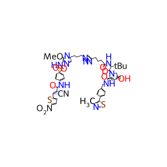 COc1nc(CCCn2cc(CCCC(=O)NC(C(=O)N3C[C@H](O)C[C@H]3C(=O)NCc3ccc(-c4scnc4C)cc3)C(C)(C)C)nn2)cnc1NS(=O)(=O)c1ccc(NC(=O)/C(C#N)=C/c2ccc([N+](=O)[O-])s2)cc1